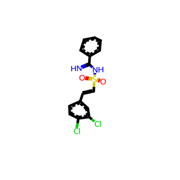 N=C(NS(=O)(=O)C=Cc1ccc(Cl)c(Cl)c1)c1ccccc1